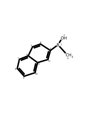 CB(O)c1ccc2ccccc2c1